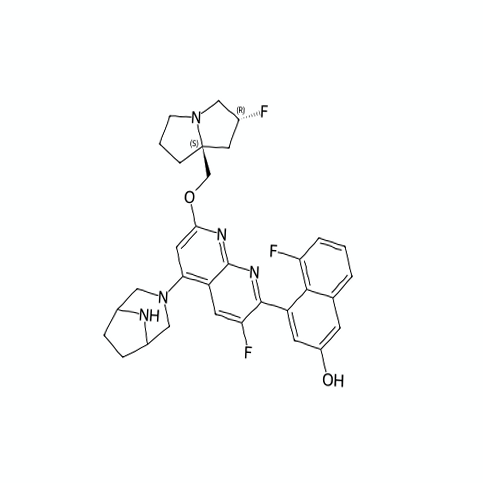 Oc1cc(-c2nc3nc(OC[C@@]45CCCN4C[C@H](F)C5)cc(N4CC5CCC(C4)N5)c3cc2F)c2c(F)cccc2c1